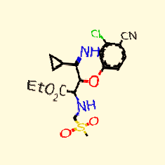 CCOC(=O)C(NCS(C)(=O)=O)C(Oc1ccc(C#N)c(Cl)c1)C(=N)C1CC1